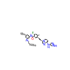 CNCCN(C)c1cc(N(C)C(=O)c2cc(C#Cc3cnc4c(Nc5cn[nH]c5)cccn34)c(C)cc2F)cc(C(C)(C)C)c1